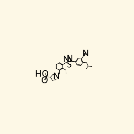 CCc1c(CN2CCC(C(=O)O)C2)cccc1-c1nnc(-c2ccc(CC(C)C)c(C#N)c2)s1